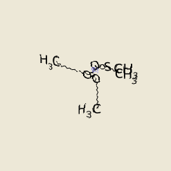 CCCCCCCCCCCCCOc1cc(/C=C/C(=O)c2ccc(SCCCC(C)C)cc2)cc(OCCCCCCCCCCCCC)c1